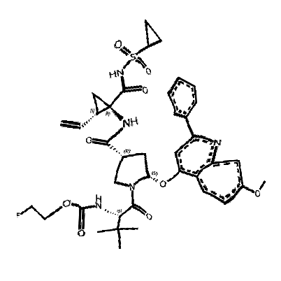 C=C[C@@H]1C[C@]1(NC(=O)[C@@H]1C[C@H](Oc2cc(-c3ccccc3)nc3cc(OC)ccc23)N(C(=O)[C@@H](NC(=O)OCCF)C(C)(C)C)C1)C(=O)NS(=O)(=O)C1CC1